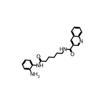 Nc1ccccc1NC(=O)CCCCCNC(=O)c1cnc2ccccc2c1